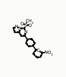 CS(=O)(=O)c1nc(-c2ccc(-c3cccc([N+](=O)[O-])c3)cc2)cc2ccnn12